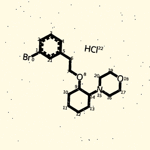 Brc1cccc(CCOC2CCCCC2N2CCOCC2)c1.Cl